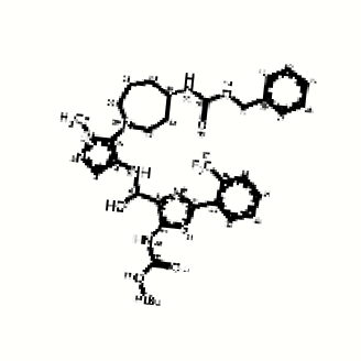 Cn1ncc(NC(O)c2nc(-c3ccccc3C(F)(F)F)sc2NC(=O)OC(C)(C)C)c1N1CCC[C@@H](NC(=O)OCc2ccccc2)CC1